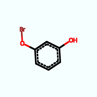 Oc1cccc(OBr)c1